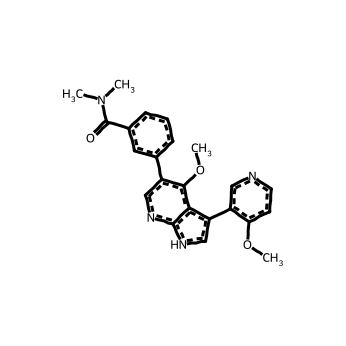 COc1ccncc1-c1c[nH]c2ncc(-c3cccc(C(=O)N(C)C)c3)c(OC)c12